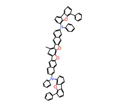 Cc1cc2c3cc4ccc(N(c5ccccc5)c5cccc6c5oc5c(-c7ccccc7)cccc56)cc4cc3oc2c2oc3cc4cc(N(c5ccccc5)c5cccc6c5oc5c(-c7ccccc7)cccc56)ccc4cc3c12